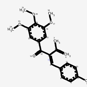 C=C(C)/C(=C\c1ccc(O)cc1)C(=O)c1cc(OC)c(OC)c(OC)c1